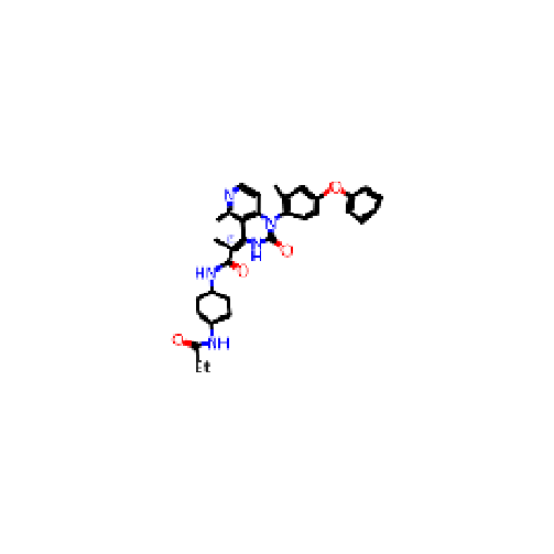 CCC(=O)NC1CCC(NC(=O)/C(C)=C2\NC(=O)N(c3ccc(Oc4ccccc4)cc3C)c3ccnc(C)c32)CC1